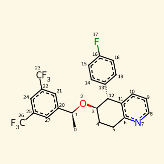 C[C@H](O[C@@H]1CCc2ncccc2[C@H]1c1ccc(F)cc1)c1cc(C(F)(F)F)cc(C(F)(F)F)c1